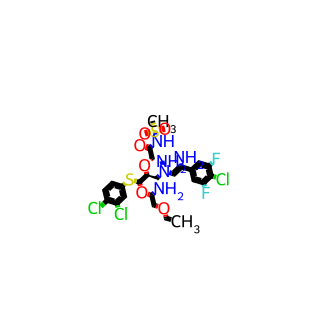 CCOCC(N)OC(Sc1ccc(Cl)c(Cl)c1)[C@H](CN(N)/C=C(\N)c1cc(F)c(Cl)c(F)c1)OCC(=O)NS(C)(=O)=O